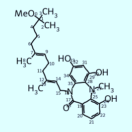 COC(C)(C)CCC/C(C)=C/CC/C(C)=C/CN1C(=O)c2cccc(O)c2N(C)c2c(O)cc(O)cc21